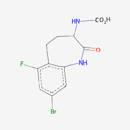 O=C(O)NC1CCc2c(F)cc(Br)cc2NC1=O